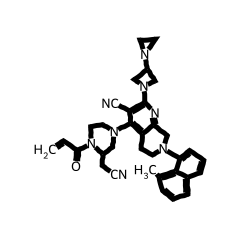 C=CC(=O)N1CCN(c2c(C#N)c(N3CC(N4CC4)C3)nc3c2CCN(c2cccc4cccc(C)c24)C3)CC1CC#N